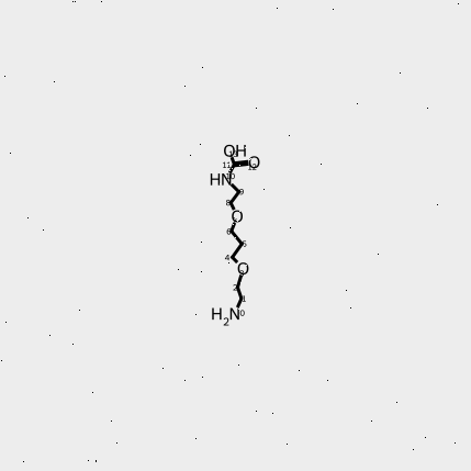 NCCOCCCOCCNC(=O)O